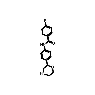 CCC1=CC=C(C(=O)Nc2ccc(C3CNCCO3)cc2)CC1